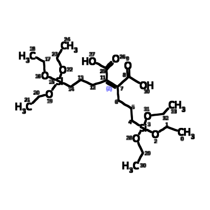 CCO[Si](CCC/C(C(=O)O)=C(\CCC[Si](OCC)(OCC)OCC)C(=O)O)(OCC)OCC